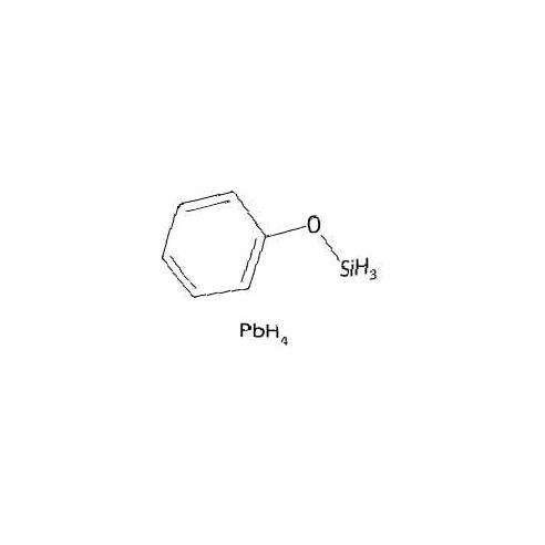 [PbH4].[SiH3]Oc1ccccc1